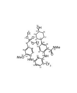 CCOP(=O)(Cc1ccc(Nc2ncc(C(F)(F)F)c(Nc3ccc([C@H]4CC[C@@H](O)CC4)cc3C(=O)NC)n2)c(OC)c1)OCC